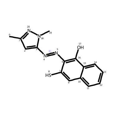 Cc1cc(/N=N/c2c(S)cc3ccccc3c2O)n(C)n1